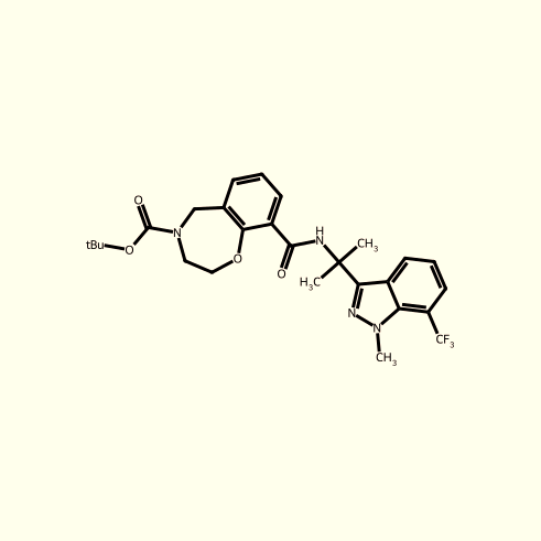 Cn1nc(C(C)(C)NC(=O)c2cccc3c2OCCN(C(=O)OC(C)(C)C)C3)c2cccc(C(F)(F)F)c21